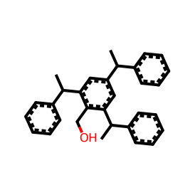 CC(c1ccccc1)c1cc(C(C)c2ccccc2)c(CO)c(C(C)c2ccccc2)c1